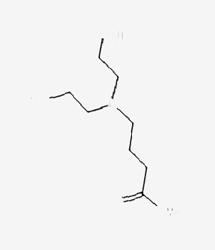 COC(=O)CCCP(CCC(=O)O)CCC(=O)O